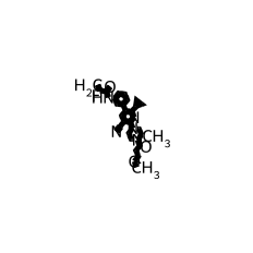 C=C(F)C(=O)Nc1cccc(-c2cc(C#N)c(N3CCN(C(=O)CCOC)C(C)C3)nc2C2CC2)c1